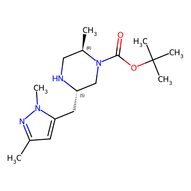 Cc1cc(C[C@H]2CN(C(=O)OC(C)(C)C)[C@H](C)CN2)n(C)n1